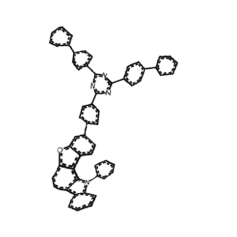 c1ccc(-c2ccc(-c3nc(-c4ccc(-c5ccccc5)cc4)nc(-c4ccc(-c5ccc6c(c5)oc5ccc7c8ccccc8n(-c8ccccc8)c7c56)cc4)n3)cc2)cc1